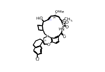 CO[C@H]1/C=C/C(O)C2CCC2CN2C[C@@]3(CCCc4cc(Cl)ccc43)COc3ccc(cc32)C(=O)NS(=O)(=O)[C@H](C)C1